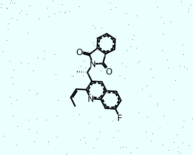 C/C=C\c1nc2cc(F)ccc2cc1[C@H](C)N1C(=O)c2ccccc2C1=O